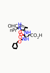 C=C(C(C)C)[C@H](NC(=O)[C@H](CCC(=O)O)NC(=O)OCc1ccccc1)C(=O)N[C@H](C=O)CCC